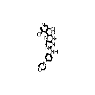 Cn1c(=O)c(-c2c(Cl)cncc2Cl)nc2cnc(Nc3ccc(N4CCOCC4)cc3)nc21